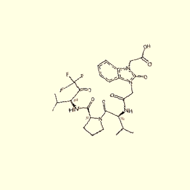 CC(C)[C@H](NC(=O)Cn1c(=O)n(CC(=O)O)c2ccccc21)C(=O)N1CCC[C@H]1C(=O)N[C@H](C(=O)C(F)(F)F)C(C)C